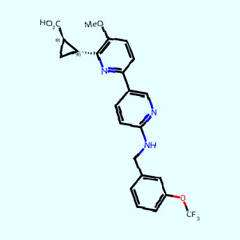 COc1ccc(-c2ccc(NCc3cccc(OC(F)(F)F)c3)nc2)nc1[C@@H]1C[C@H]1C(=O)O